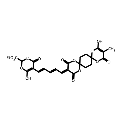 CCOC(=O)C1OC(=O)C(/C=C/C=C/C=C2C(=O)OC3(CCC4(CC3)OC(=O)C(C)=C(O)O4)OC2=O)=C(O)O1